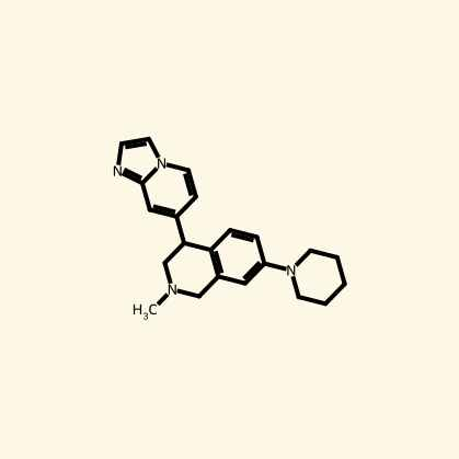 CN1Cc2cc(N3CCCCC3)ccc2C(c2ccn3ccnc3c2)C1